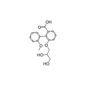 COc1ccccc1-c1c(OCC(O)CO)cccc1C(=O)O